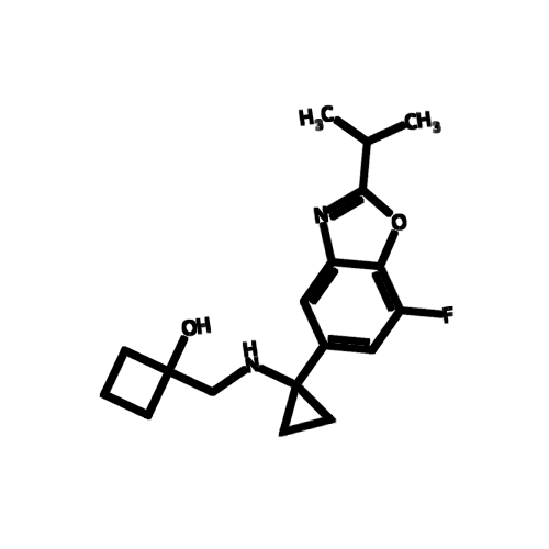 CC(C)c1nc2cc(C3(NCC4(O)CCC4)CC3)cc(F)c2o1